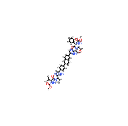 COC(=O)N[C@H](C(=O)N1CCC[C@H]1c1ncc(-c2ccc(-c3ccc4cc(-c5cnc([C@@H]6COCCN6C(=O)[C@H](NC(=O)OC)c6ccccc6)[nH]5)ccc4c3)cc2)[nH]1)C(C)C